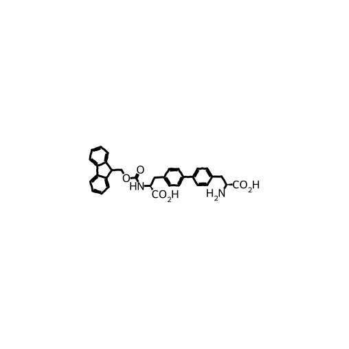 N[C@@H](Cc1ccc(-c2ccc(C[C@H](NC(=O)OCC3c4ccccc4-c4ccccc43)C(=O)O)cc2)cc1)C(=O)O